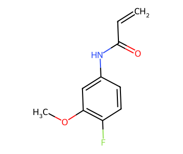 C=CC(=O)Nc1ccc(F)c(OC)c1